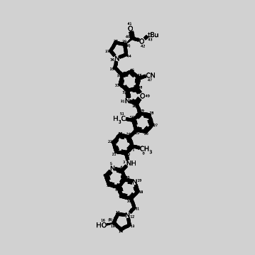 Cc1c(Nc2nccc3cc(CN4CC[C@@H](O)C4)cnc23)cccc1-c1cccc(-c2nc3cc(CN4CC[C@@H](C(=O)OC(C)(C)C)C4)cc(C#N)c3o2)c1C